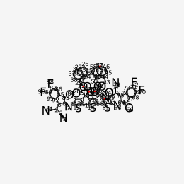 N#CC(C#N)=C1/C(=N/c2cc3c(s2)-c2sc4c(c2C3(C(=O)OCc2ccccc2)C(=O)OCc2ccccc2)C(C(=O)OCc2ccccc2)(C(=O)OCc2ccccc2)c2cc(/N=C3/C(=O)c5cc(F)c(F)cc5C3=C(C#N)C#N)sc2-4)C(=O)c2cc(F)c(F)cc21